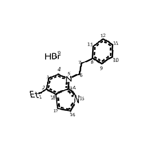 Br.CCc1ccn(CCc2ccccc2)c2nccc1-2